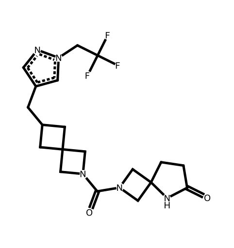 O=C1CCC2(CN(C(=O)N3CC4(CC(Cc5cnn(CC(F)(F)F)c5)C4)C3)C2)N1